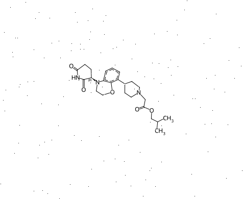 CC(C)COC(=O)CN1CCC(c2cccc3c2OCCN3[C@@H]2CCC(=O)NC2=O)CC1